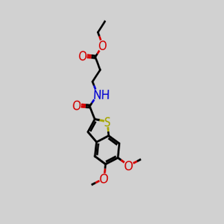 CCOC(=O)CCNC(=O)c1cc2cc(OC)c(OC)cc2s1